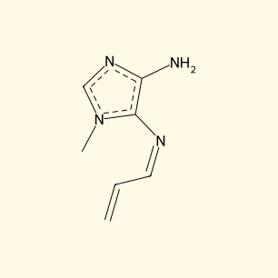 C=C/C=N\c1c(N)ncn1C